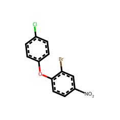 O=[N+]([O-])c1ccc(Oc2ccc(Cl)cc2)c(Br)c1